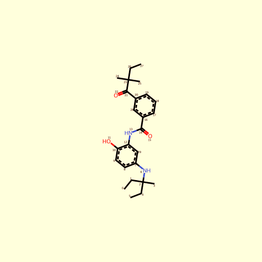 CCC(C)(CC)Nc1ccc(O)c(NC(=O)c2cccc(C(=O)C(C)(C)CC)c2)c1